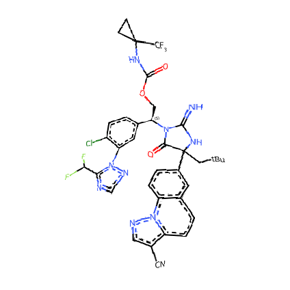 CC(C)(C)CC1(c2ccc3c(ccc4c(C#N)cnn43)c2)NC(=N)N([C@H](COC(=O)NC2(C(F)(F)F)CC2)c2ccc(Cl)c(-n3ncnc3C(F)F)c2)C1=O